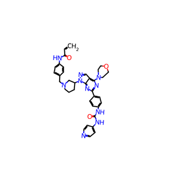 C=CC(=O)Nc1ccc(CN2CCCC(n3ncc4c(N5CCOCC5)nc(-c5ccc(NC(=O)Nc6ccncc6)cc5)nc43)C2)cc1